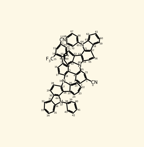 N#Cc1ccc(-c2cc(-c3ccc(C#N)cc3C(F)(F)F)ccc2-n2c3ccccc3c3c2ccc2c4ccccc4n(-c4ccccc4)c23)c(-n2c3ccccc3c3c2ccc2c4ccccc4n(-c4ccccc4)c23)c1